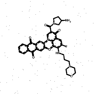 NC1CCN(C(=O)c2cn3c4cc5c(=O)c6ccccc6c(=O)c5cc4oc4c(NCCCN5CCOCC5)c(F)cc(c2=O)c43)C1